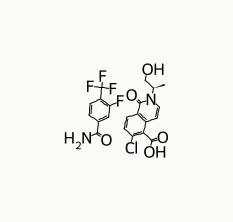 C[C@H](CO)n1ccc2c(C(=O)O)c(Cl)ccc2c1=O.NC(=O)c1ccc(C(F)(F)F)c(F)c1